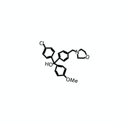 COc1ccc(C(O)(c2ccc(Cl)cc2)c2ccc(CN3CCOCC3)cc2)cc1